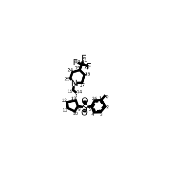 Cc1cccc(S(=O)(=O)C2CCC[C@@H]2CCN2CCC(C(F)(F)F)CC2)c1